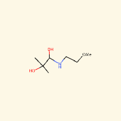 COCCNC(O)C(C)(C)O